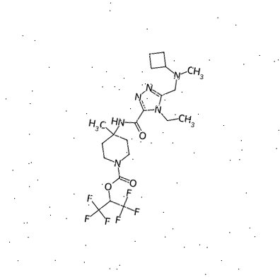 CCn1c(CN(C)C2CCC2)nnc1C(=O)NC1(C)CCN(C(=O)OC(C(F)(F)F)C(F)(F)F)CC1